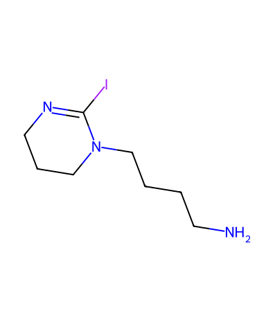 NCCCCN1CCCN=C1I